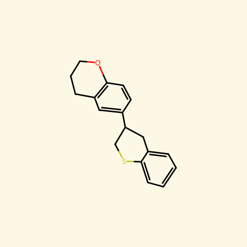 c1ccc2c(c1)CC(c1ccc3c(c1)CCCO3)CS2